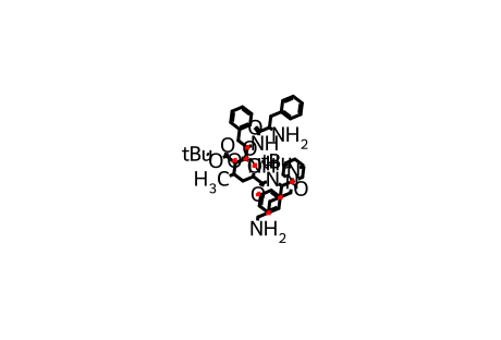 CC(CC(NC(=O)C(Cc1ccccc1)NC(=O)C(N)Cc1ccccc1)C(=O)NC(CCCCN)C(=O)N1C2CC1CN(Cc1ccccc1)C2)C(C(=O)OC(C)(C)C)C(=O)OC(C)(C)C